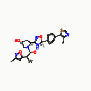 Cc1cc(C(C(=O)N2C[C@H](O)C[C@H]2C2=NO[C@@](C)(c3ccc(-c4scnc4C)cc3)N2)C(C)C)on1